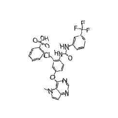 Cn1ccc2ncnc(Oc3ccc(NC(=O)Nc4cccc(C(F)(F)F)c4)c(Cl)c3)c21.O=S(=O)(O)c1ccccc1